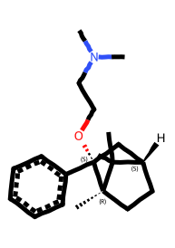 CN(C)CCO[C@]1(c2ccccc2)C[C@@H]2CC[C@]1(C)C2(C)C